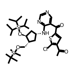 CC(=O)c1cc(C(=O)c2cncnc2N[C@@H]2C[C@H](CO[Si](C)(C)C(C)(C)C)[C@@H](O[Si](C(C)C)(C(C)C)C(C)C)C2)sc1Cl